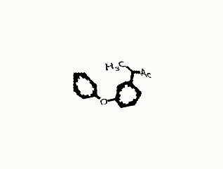 CC(=O)C(C)c1cccc(Oc2ccccc2)c1